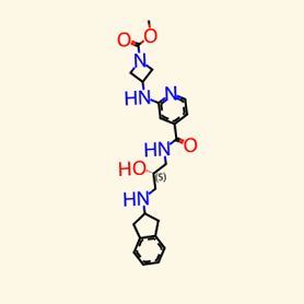 COC(=O)N1CC(Nc2cc(C(=O)NC[C@@H](O)CNC3Cc4ccccc4C3)ccn2)C1